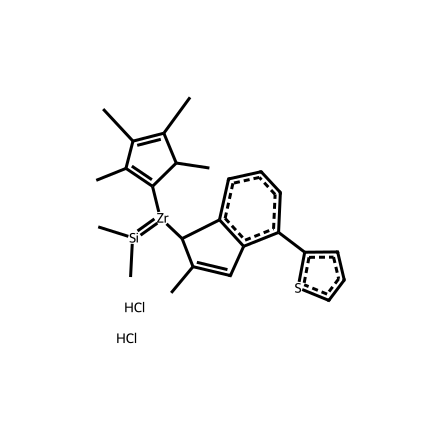 CC1=Cc2c(-c3cccs3)cccc2[CH]1[Zr]([C]1=C(C)C(C)=C(C)C1C)=[Si](C)C.Cl.Cl